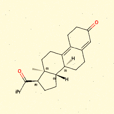 CC(C)C(=O)[C@@H]1CC[C@H]2[C@@H]3CCC4=CC(=O)CCC4=C3CC[C@]12C